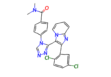 CN(C)C(=O)c1ccc(-n2cnnc2-c2c(-c3cc(Cl)ccc3Cl)nc3ccccn23)cc1